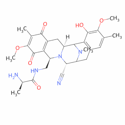 COC1=C(C)C(=O)C2=C(C1=O)[C@H](CNC(=O)[C@@H](C)N)N1[C@@H](C#N)C3Cc4cc(C)c(OC)c(O)c4C([C@@H]1C2)N3C